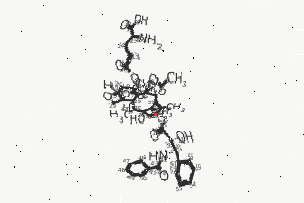 CC(=O)O[C@H]1C(=O)[C@]2(C)[C@@H](OC(=O)CCC(N)C(=O)O)C[C@H]3OC[C@@]3(OC(C)=O)[C@H]2[C@H](C)[C@]2(O)C[C@H](OC(=O)[C@H](O)[C@@H](NC(=O)c3ccccc3)c3ccccc3)C(C)=C1C2(C)C